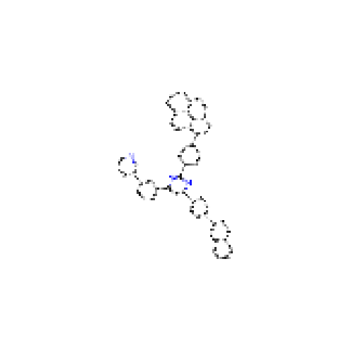 c1cncc(-c2cccc(-c3cc(-c4ccc(-c5ccc6ccccc6c5)cc4)nc(-c4ccc(-c5ccc6ccc7cccc8ccc5c6c78)cc4)n3)c2)c1